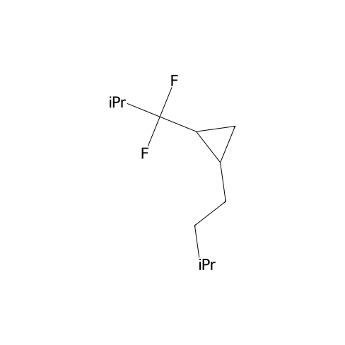 CC(C)CCC1CC1C(F)(F)C(C)C